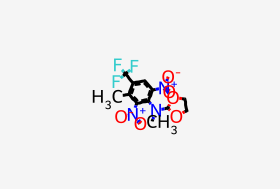 Cc1c(C(F)(F)F)cc([N+](=O)[O-])c(N(C)C2OCCO2)c1[N+](=O)[O-]